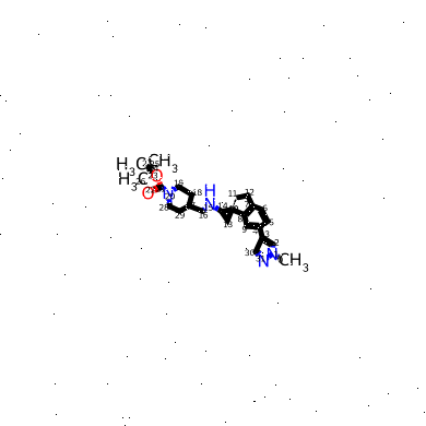 Cn1cc(-c2ccc3c(c2)[C@@]2(CC3)CC2NCC2CCN(C(=O)OC(C)(C)C)CC2)cn1